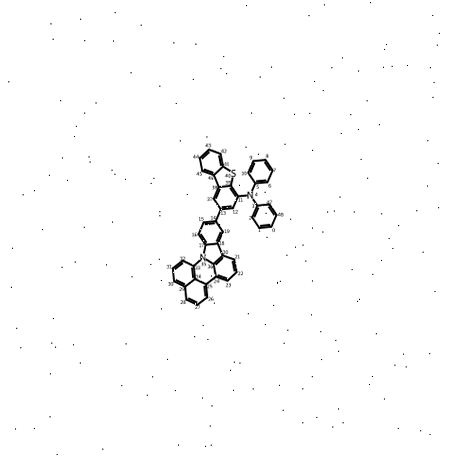 c1ccc(N(c2ccccc2)c2cc(-c3ccc4c(c3)c3cccc5c6cccc7cccc(c76)n4c53)cc3c2sc2ccccc23)cc1